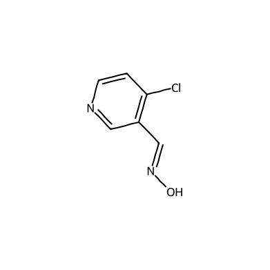 ON=Cc1cnccc1Cl